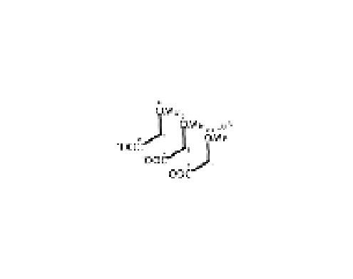 COCC(=O)[O-].COCC(=O)[O-].COCC(=O)[O-].[Lu+3]